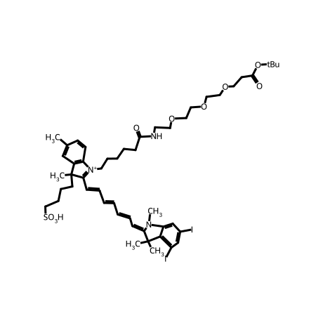 Cc1ccc2c(c1)C(C)(CCCCS(=O)(=O)O)C(/C=C/C=C/C=C/C=C1\N(C)c3cc(I)cc(I)c3C1(C)C)=[N+]2CCCCCC(=O)NCCOCCOCCOCCC(=O)OC(C)(C)C